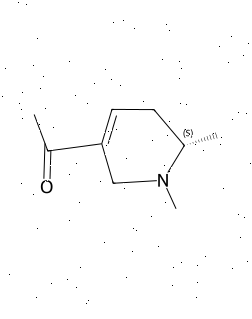 CC(=O)C1=CC[C@H](C)N(C)C1